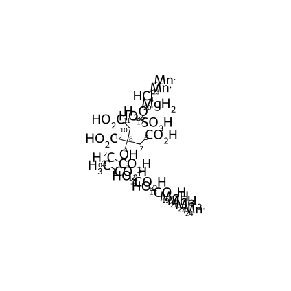 CC(=O)O.CC(=O)O.Cl.O.O=C(O)CC(O)(CC(=O)O)C(=O)O.O=C(O)O.O=C(O)O.O=S(=O)(O)O.[MgH2].[MgH2].[MgH2].[Mn].[Mn].[Mn].[Mn]